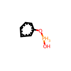 O[PH3]Oc1ccccc1